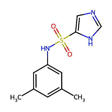 Cc1cc(C)cc(NS(=O)(=O)c2cnc[nH]2)c1